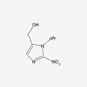 CCCn1c(CO)cnc1[N+](=O)[O-]